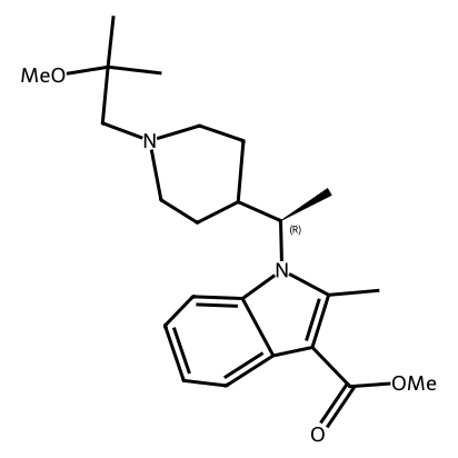 COC(=O)c1c(C)n([C@H](C)C2CCN(CC(C)(C)OC)CC2)c2ccccc12